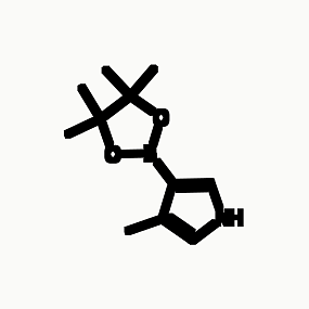 Cc1c[nH]cc1B1OC(C)(C)C(C)(C)O1